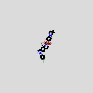 COC[C@]12Cc3cnn(-c4ccc(F)cc4)c3C=C1CCN(S(=O)(=O)c1ccc(N3CCC(C)(C)C3)cc1)C2